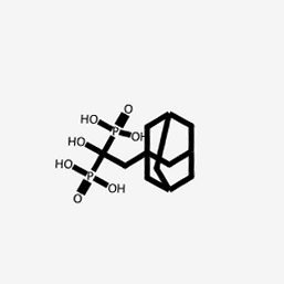 O=P(O)(O)C(O)(CC12CC3CC(CC(C3)C1)C2)P(=O)(O)O